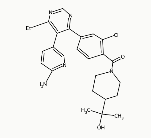 CCc1ncnc(-c2ccc(C(=O)N3CCC(C(C)(C)O)CC3)c(Cl)c2)c1-c1ccc(N)nc1